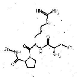 CCNC(=O)[C@@H]1CCCN1C(=O)[C@H](CCCNC(=N)N)NC(=O)[C@H](N)CC(C)C